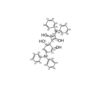 OC1=C(c2c(O)cc(N(c3ccccc3)c3ccccc3)cc2O)C(O)=C1N(c1ccccc1)c1ccccc1